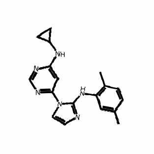 Cc1ccc(C)c(Nc2nccn2-c2cc(NC3CC3)ncn2)c1